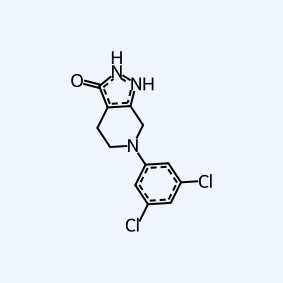 O=c1[nH][nH]c2c1CCN(c1cc(Cl)cc(Cl)c1)C2